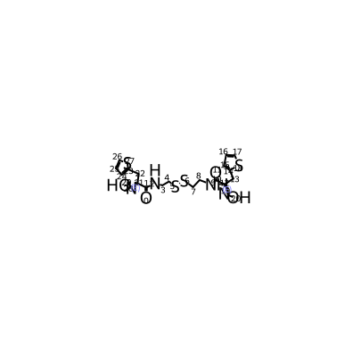 O=C(NCCSSCCNC(=O)/C(Cc1cccs1)=N/O)/C(Cc1cccs1)=N/O